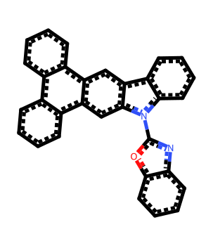 c1ccc2oc(-n3c4ccccc4c4cc5c6ccccc6c6ccccc6c5cc43)nc2c1